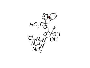 C#C[C@@]1(O)[C@@H](CO[C@](Cc2ccccc2)(C(=O)O)c2cscn2)O[C@@H](n2cnc3c(N)nc(Cl)nc32)[C@@H]1O